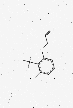 C=CCOc1cccc(Br)c1C(C)(C)C